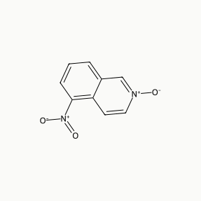 O=[N+]([O-])c1cccc2c[n+]([O-])ccc12